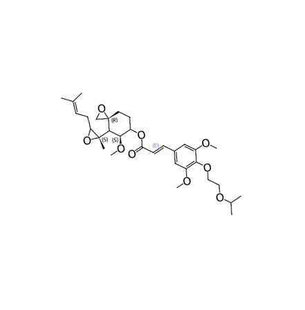 COc1cc(/C=C/C(=O)OC2CC[C@]3(CO3)C([C@]3(C)OC3CC=C(C)C)[C@@H]2OC)cc(OC)c1OCCOC(C)C